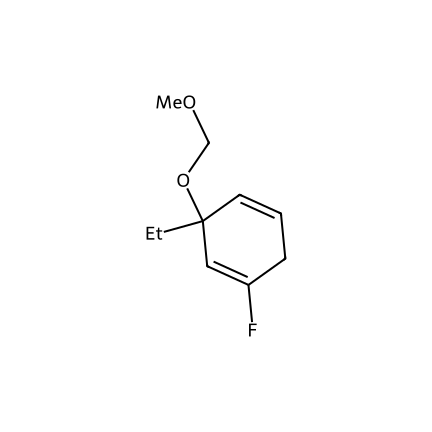 CCC1(OCOC)C=CCC(F)=C1